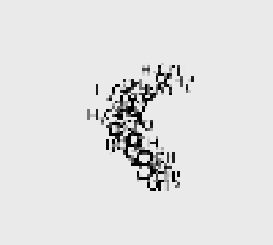 CC(C)(C)OC(=O)NCCC[C@H](NC(=O)OC(C)(C)C)C(=O)O[C@H]1C[C@@]2(C)C3C[C@H](O)[C@H]4C(C)(C)[C@@H](O)CC[C@]45CC35CC[C@]2(C)[C@H]1[C@@]1(C)CC[C@@H](C(C)(C)O)O1